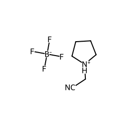 F[B-](F)(F)F.N#CC[NH+]1CCCC1